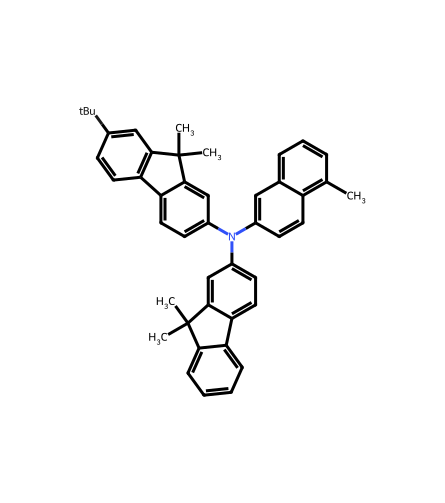 Cc1cccc2cc(N(c3ccc4c(c3)C(C)(C)c3ccccc3-4)c3ccc4c(c3)C(C)(C)c3cc(C(C)(C)C)ccc3-4)ccc12